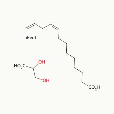 CCCCC/C=C\C/C=C\CCCCCCCC(=O)O.O=C(O)C(O)CO